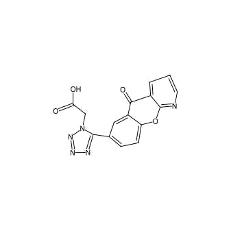 O=C(O)Cn1nnnc1-c1ccc2oc3ncccc3c(=O)c2c1